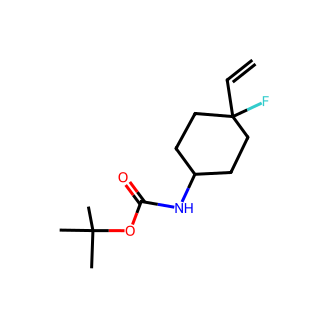 C=CC1(F)CCC(NC(=O)OC(C)(C)C)CC1